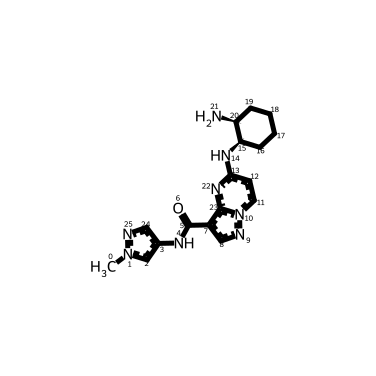 Cn1cc(NC(=O)c2cnn3ccc(N[C@@H]4CCCC[C@@H]4N)nc23)cn1